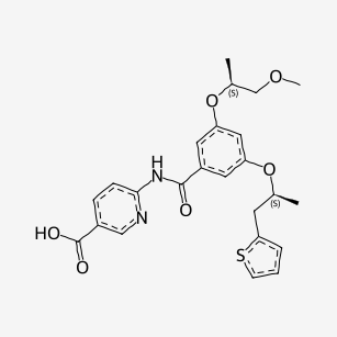 COC[C@H](C)Oc1cc(O[C@@H](C)Cc2cccs2)cc(C(=O)Nc2ccc(C(=O)O)cn2)c1